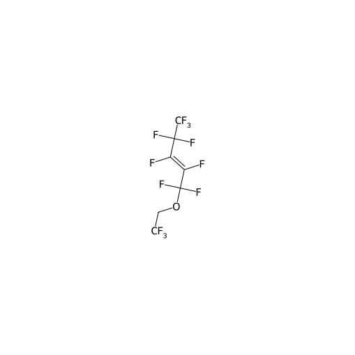 FC(=C(F)C(F)(F)C(F)(F)F)C(F)(F)OCC(F)(F)F